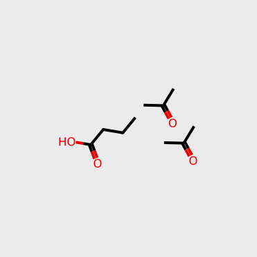 CC(C)=O.CC(C)=O.CCCC(=O)O